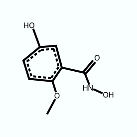 COc1ccc(O)cc1C(=O)NO